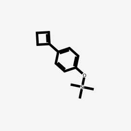 C[Si](C)(C)Oc1ccc(C2=CCC2)cc1